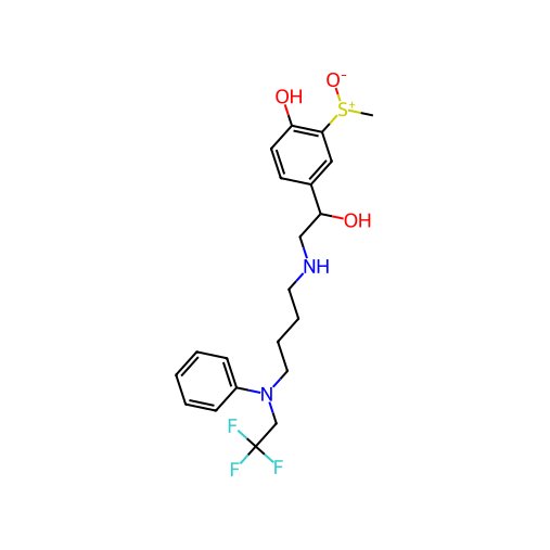 C[S+]([O-])c1cc(C(O)CNCCCCN(CC(F)(F)F)c2ccccc2)ccc1O